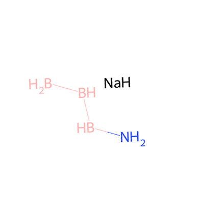 BBBN.[NaH]